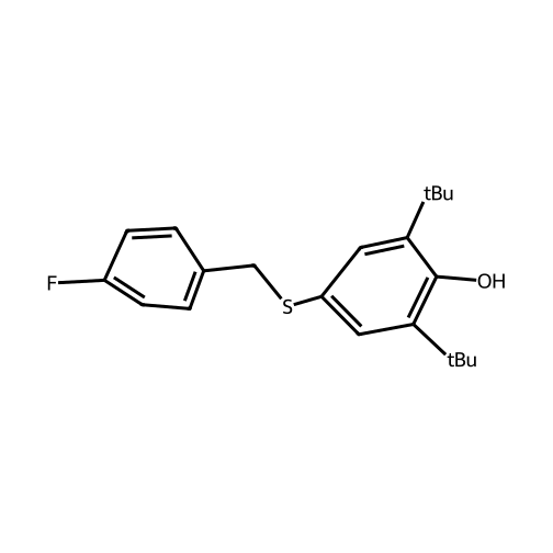 CC(C)(C)c1cc(SCc2ccc(F)cc2)cc(C(C)(C)C)c1O